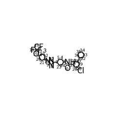 O=C(Nc1ccc(-c2ncn(-c3ccc(OC(F)(F)C(F)(F)F)cc3)n2)cc1)c1cc(Cl)cc(-c2ccccc2)c1